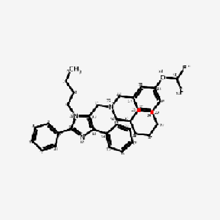 CCCCn1c(-c2ccccc2)nc(-c2ccccc2)c1CN(Cc1cccc(OC(F)F)c1)CC1CCCCC1